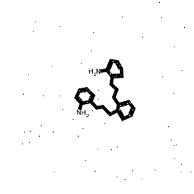 Nc1ccccc1CCCc1ccccc1CCCc1ccccc1N